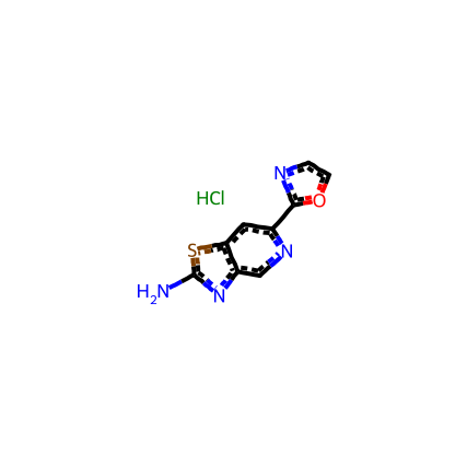 Cl.Nc1nc2cnc(-c3ncco3)cc2s1